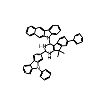 CC1(C)C2=C(c3ccc(-c4ccccc4)cc31)C(n1c3ccccc3c3cc4ccccc4cc31)NC(c1ccc3c4ccccc4n(-c4ccccc4)c3c1)N2